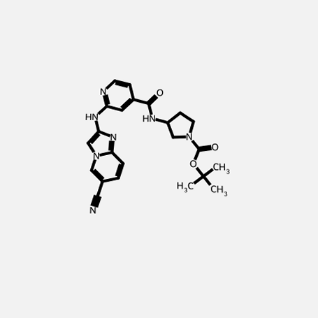 CC(C)(C)OC(=O)N1CCC(NC(=O)c2ccnc(Nc3cn4cc(C#N)ccc4n3)c2)C1